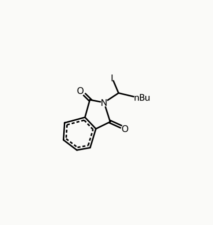 CCCCC(I)N1C(=O)c2ccccc2C1=O